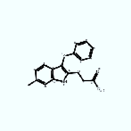 Cc1ccc2c(Sc3ccccc3)c(CCC(N)=O)[nH]c2c1